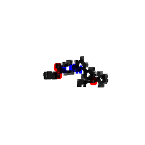 CC(C)c1cc(-c2cccc(N3CCN(C(=O)OC(C)(C)C)CC3)n2)ccc1OC1CCCC1